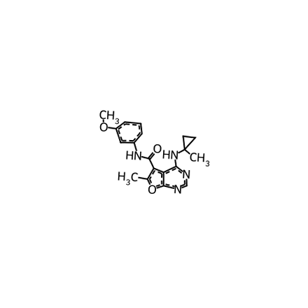 COc1cccc(NC(=O)c2c(C)oc3ncnc(NC4(C)CC4)c23)c1